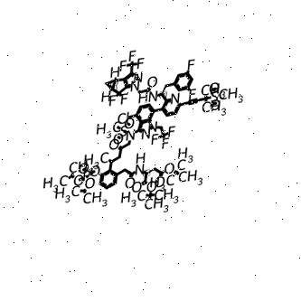 CC(C)OP(=O)(Oc1cccc(CC(=O)N[C@@H](CC(=O)OC(C)(C)C)C(=O)OC(C)(C)C)c1C(C)CC(=O)CN(c1nn(CC(F)(F)F)c2c(-c3ccc(C#CC(C)(C)S(C)(=O)=O)nc3[C@H](Cc3cc(F)cc(F)c3)NC(=O)Cn3nc(C(F)(F)F)c4c3C(F)(F)[C@@H]3C[C@H]43)ccc(Cl)c12)S(C)(=O)=O)OC(C)C